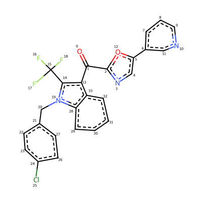 O=C(c1ncc(-c2cccnc2)o1)c1c(C(F)(F)F)n(Cc2ccc(Cl)cc2)c2ccccc12